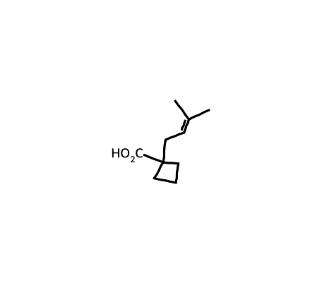 CC(C)=CCC1(C(=O)O)CCC1